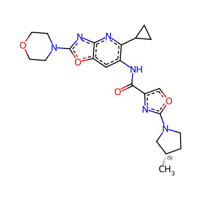 C[C@H]1CCN(c2nc(C(=O)Nc3cc4oc(N5CCOCC5)nc4nc3C3CC3)co2)C1